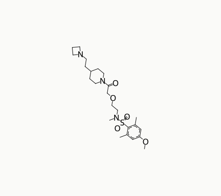 COc1cc(C)c(S(=O)(=O)N(C)CCOCC(=O)N2CCC(CCN3CCC3)CC2)c(C)c1